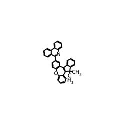 CC1(C)C2=C(c3cc(-c4nc5ccccc5c5ccccc45)ccc3Oc3ccccc32)c2ccccc21